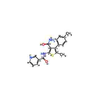 Cc1ccc(-c2c(C)sc(NC(=O)c3cccnc3)c2C(N)=O)cc1